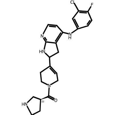 O=C([C@H]1CCNC1)N1CC=C(C2Cc3c(Nc4ccc(F)c(Cl)c4)ccnc3N2)CC1